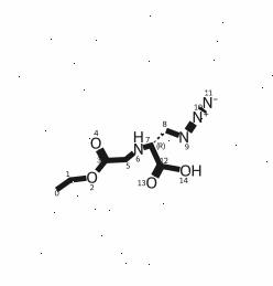 CCOC(=O)CN[C@H](CN=[N+]=[N-])C(=O)O